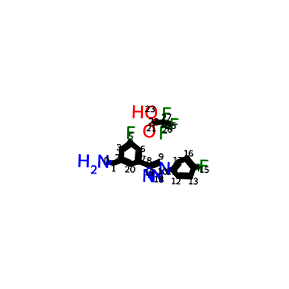 NCc1cc(F)cc(-c2cn(-c3ccc(F)cc3)nn2)c1.O=C(O)C(F)(F)F